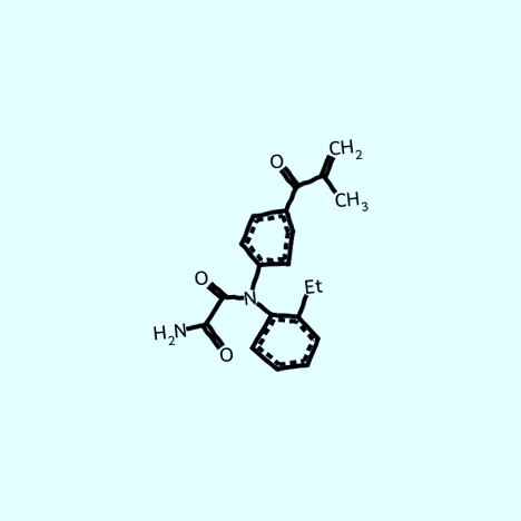 C=C(C)C(=O)c1ccc(N(C(=O)C(N)=O)c2ccccc2CC)cc1